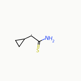 NC(=S)[CH]C1CC1